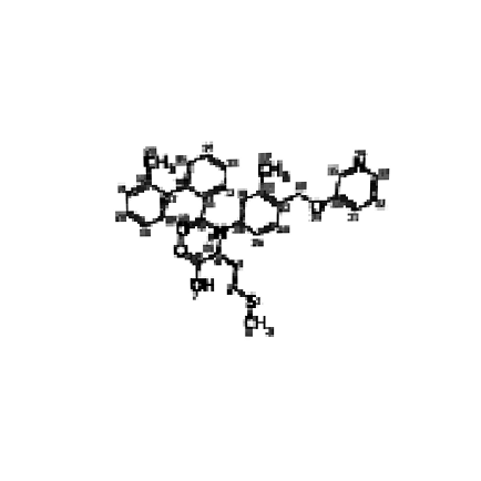 CSCC[C@@H](C(=O)O)N(C(=O)c1ccccc1-c1ccccc1C)c1ccc(COc2cccnc2)c(C)c1